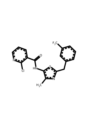 Cc1nc(Cc2cccc(C(F)(F)F)c2)sc1NC(=O)c1cccnc1Cl